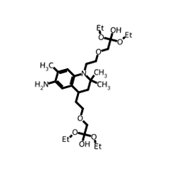 CCOC(O)(COCCC1CC(C)(C)N(CCOCC(O)(OCC)OCC)c2cc(C)c(N)cc21)OCC